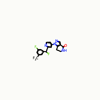 O=C1NCCc2c1cnn2-c1ccnc(C(F)c2cc(F)cc(C(F)(F)F)c2)c1